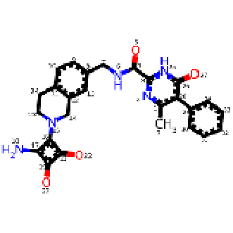 Cc1nc(C(=O)NCc2ccc3c(c2)CN(c2c(N)c(=O)c2=O)CC3)[nH]c(=O)c1-c1ccccc1